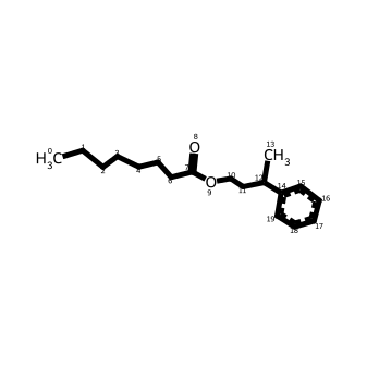 CCCCCCCC(=O)OCCC(C)c1ccccc1